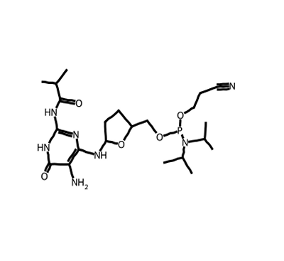 CC(C)C(=O)Nc1nc(NC2CCC(COP(OCCC#N)N(C(C)C)C(C)C)O2)c(N)c(=O)[nH]1